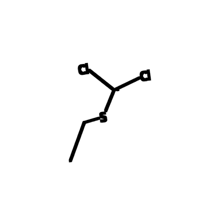 CCS[C](Cl)Cl